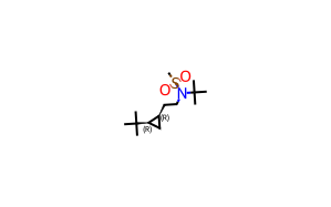 CC(C)(C)[C@@H]1C[C@@H]1CCN(C(C)(C)C)S(C)(=O)=O